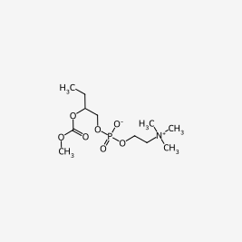 CCC(COP(=O)([O-])OCC[N+](C)(C)C)OC(=O)OC